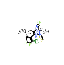 CCOC(=O)C1=C(CN2CC(F)(F)CC2C(=O)O)NC(c2nccs2)=NC1c1ccc(F)c(F)c1Cl